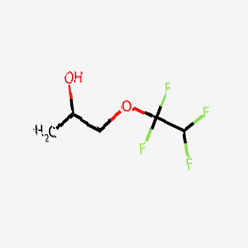 [CH2]C(O)COC(F)(F)C(F)F